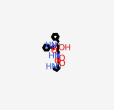 O=C(NCCC(O)[C@H](Cc1ccccc1)NC(=O)c1ccccc1)OC(=O)[C@@H]1CCCN1